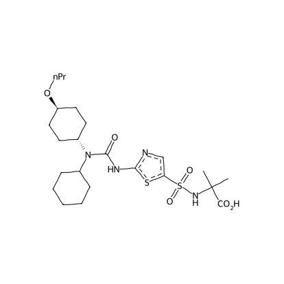 CCCO[C@H]1CC[C@H](N(C(=O)Nc2ncc(S(=O)(=O)NC(C)(C)C(=O)O)s2)C2CCCCC2)CC1